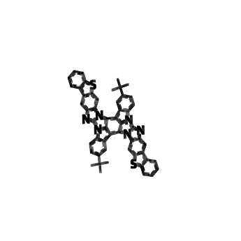 CC(C)(C)c1ccc2c(c1)c1c3c4c(c5cc(C(C)(C)C)ccc5n4c4nc5cc6c(cc5n34)sc3ccccc36)c3c1n2c1nc2cc4c(cc2n31)sc1ccccc14